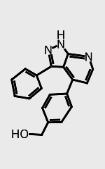 OCc1ccc(-c2ccnc3[nH]nc(-c4ccccc4)c23)cc1